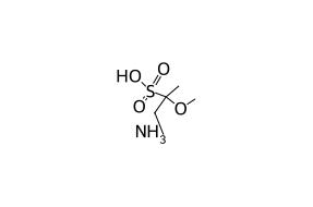 CCC(C)(OC)S(=O)(=O)O.N